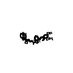 C=C1/C(=C\C=C2/CCC[C@]3(C)[C@@H]([C@@H](C)CCCC(=O)c4cocn4)CC[C@@H]23)C[C@@H](O)C[C@@H]1O